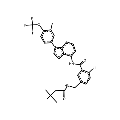 Cc1cc(-n2ncc3c(NC(=O)c4cc(CNC(=O)CC(C)(C)C)ccc4Cl)cccc32)ccc1OC(F)(F)F